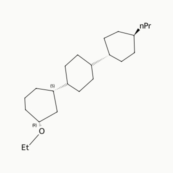 CCC[C@H]1CC[C@H](C2CCC([C@H]3CCC[C@@H](OCC)C3)CC2)CC1